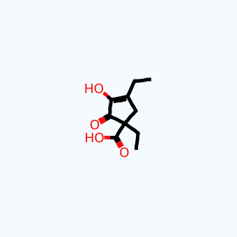 CCC1=C(O)C(=O)C(CC)(C(=O)O)C1